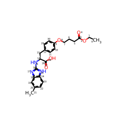 CCOC(=O)CCCOc1ccc(C[C@H](Nc2nc3cc(C)ccc3[nH]2)C(=O)O)cc1